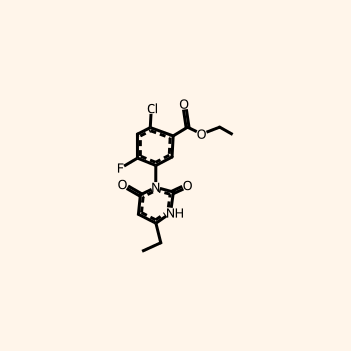 CCOC(=O)c1cc(-n2c(=O)cc(CC)[nH]c2=O)c(F)cc1Cl